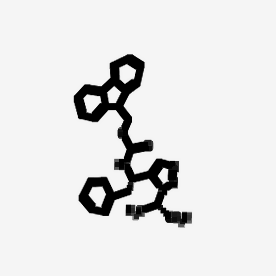 C[C@@H](C(=O)O)n1nncc1[C@H](Cc1ccccc1)NC(=O)OCC1c2ccccc2-c2ccccc21